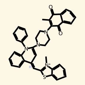 CC1=C(N2CCN(C3=C/C(=C\c4sc5ccccc5[n+]4C)c4ccccc4N3c3ccccc3)CC2)C(=O)c2ccccc2C1=O